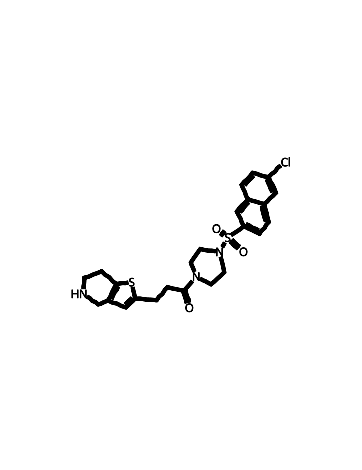 O=C(CCc1cc2c(s1)CCNC2)N1CCN(S(=O)(=O)c2ccc3cc(Cl)ccc3c2)CC1